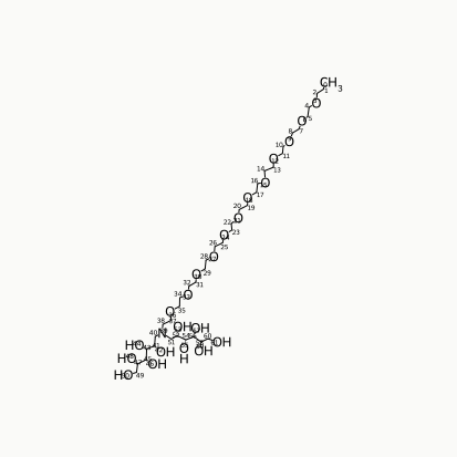 CCCOCCOCCOCCOCCOCCOCCOCCOCCOCCOCCOCCOCCN(C[C@H](O)[C@@H](O)[C@H](O)[C@H](O)CO)C[C@H](O)[C@@H](O)[C@H](O)[C@H](O)CO